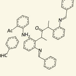 CC(=O)c1ccccc1N.CC(C(=O)C(C)c1ccccc1N=Cc1ccccc1)c1ccccc1N=Cc1ccccc1.O=Cc1ccccc1